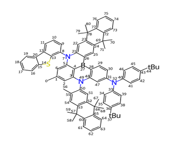 Cc1cc2c3c(c1)N(c1cccc4c1sc1ccccc14)c1cc4c(cc1B3c1ccc(N(c3ccc(C(C)(C)C)cc3)c3ccc(C(C)(C)C)cc3)cc1N2c1cc2c(cc1C)C(C)(C)c1ccccc1C2(C)C)C(C)(C)c1ccccc1C4(C)C